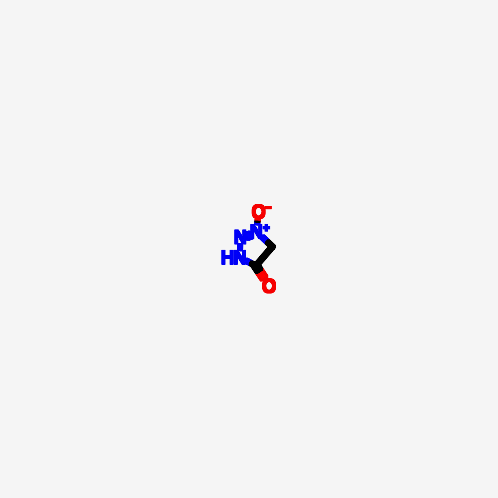 O=C1C[N+]([O-])=NN1